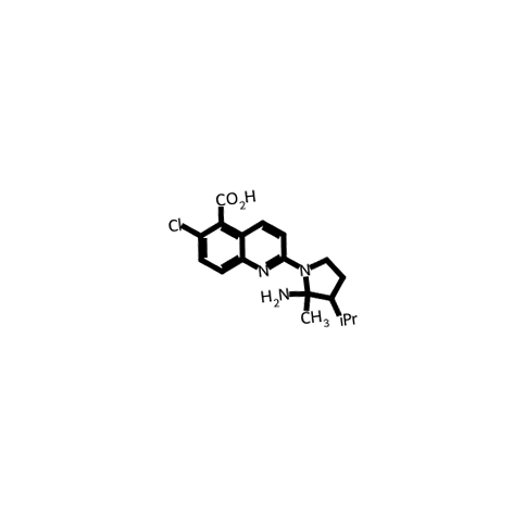 CC(C)C1CCN(c2ccc3c(C(=O)O)c(Cl)ccc3n2)C1(C)N